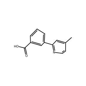 Cc1ccnc(-c2cccc(C(=O)O)c2)c1